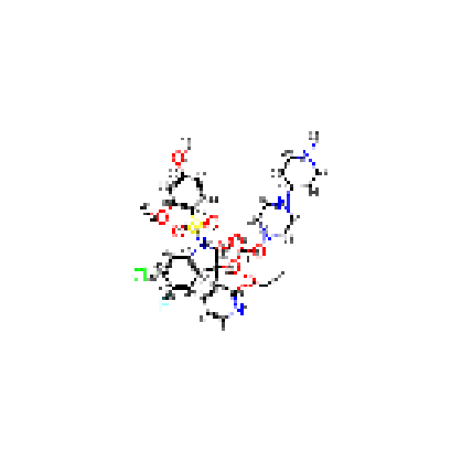 CCOc1ncccc1C1(OC(=O)ON2CCN(C3CCN(C)CC3)CC2)C(=O)N(S(=O)(=O)c2ccc(OC)cc2OC)c2cc(Cl)c(F)cc21